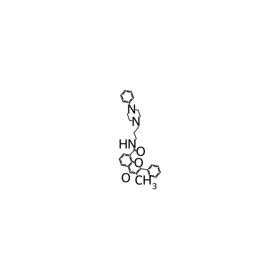 Cc1c(-c2ccccc2)oc2c(C(=O)NCCCN3CCN(c4ccccc4)CC3)cccc2c1=O